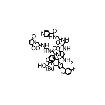 C[C@H](NC(=O)CNC(=O)c1ccncc1)C(=O)N[C@@H](CC(N)=O)C(=O)N[C@@H](CCN(C(=O)CO)[C@@H](c1cc(-c2cc(F)ccc2F)cn1Cc1ccccc1)C(C)(C)C)C(=O)NCCNC(=O)CN1C(=O)C=CC1=O